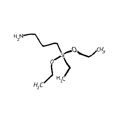 CCO[Si](CC)(CCCN)OCC